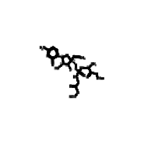 C=C[C@]1(COP(=O)(NCC(=O)OCCCCCC)N[C@@H](C)C(=O)OCCCCCC)O[C@@H](n2ccc(N)nc2=O)[C@H](O)[C@@H]1F